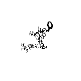 C[Si](C)(C)CCOCn1ccnc1Cc1nnn(CC(=O)C(CC(=O)O)NC(=O)OCc2ccccc2)n1